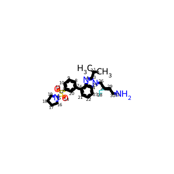 CC(C)c1nc2c(-c3cccc(S(=O)(=O)N4CCCC4)c3)cccc2n1C/C(F)=C/CN